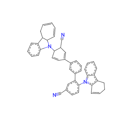 N#Cc1ccc(-n2c3c(c4ccccc42)CCC=C3)c(-c2cccc(C3=CC(C#N)C(N4c5ccccc5C5CC=CC=CC54)C=C3)c2)c1